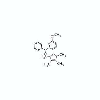 COc1ccc(C2=C(C)C(C)=C(C)C2C)c(C(=O)c2ccccc2)c1